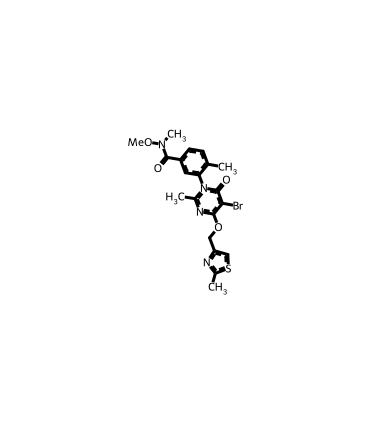 CON(C)C(=O)c1ccc(C)c(-n2c(C)nc(OCc3csc(C)n3)c(Br)c2=O)c1